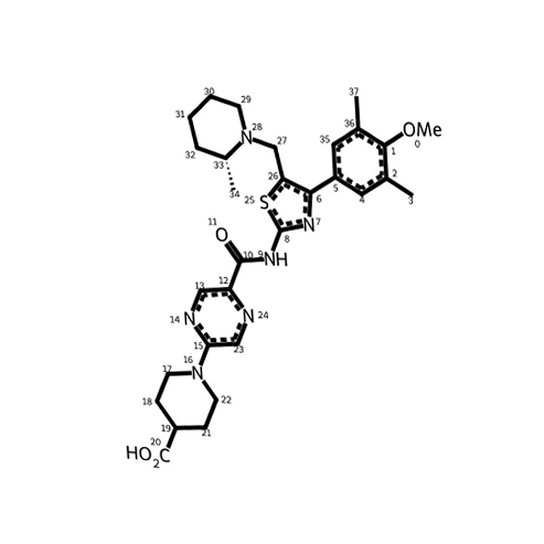 COc1c(C)cc(-c2nc(NC(=O)c3cnc(N4CCC(C(=O)O)CC4)cn3)sc2CN2CCCC[C@H]2C)cc1C